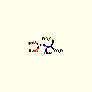 CCOC(=O)CC(C(=O)OCC)N(C[SiH](OCC)OCC)OC